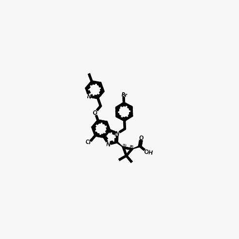 Cc1ccc(COc2cc(Cl)c3nc([C@H]4[C@@H](C(=O)O)C4(C)C)n(Cc4ccc(Br)cc4)c3c2)nc1